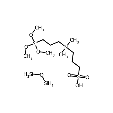 CO[Si](CCC[N+](C)(C)CCCS(=O)(=O)O)(OC)OC.[SiH3]O[SiH3]